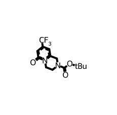 CC(C)(C)OC(=O)N1CCn2c(cc(C(F)(F)F)cc2=O)C1